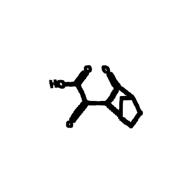 O=C(O)C(=O)C1C(=O)C2CCC1C2